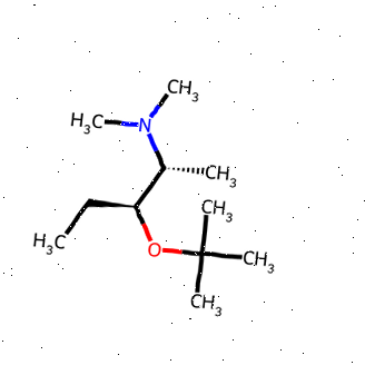 CC[C@H](OC(C)(C)C)[C@@H](C)N(C)C